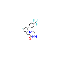 O=C1NCCCn2c1cc1cc(F)cc(-c3ccc(C(F)(F)F)cc3)c12